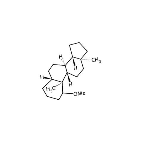 COC1CCC[C@@H]2CC[C@H]3[C@@H]4CCC[C@@]4(C)CC[C@@H]3[C@@]12C